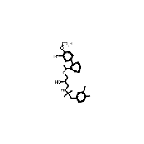 Cc1ccc(CC(C)(C)NC[C@@H](O)COC(C)c2ccccc2-c2ccc(OC(=O)O)c(C(C)C)c2)cc1F